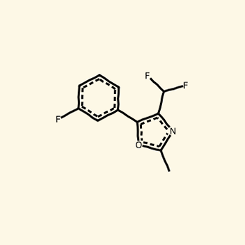 Cc1nc(C(F)F)c(-c2cccc(F)c2)o1